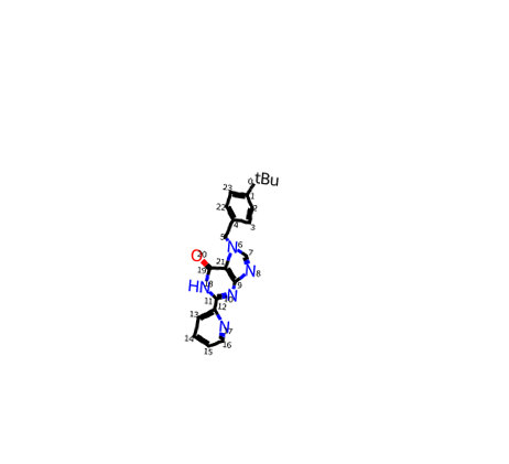 CC(C)(C)c1ccc(Cn2cnc3nc(-c4ccccn4)[nH]c(=O)c32)cc1